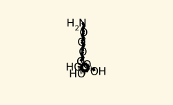 NCCOCCOCCOCCO[C@@H]1O[C@H](CO)C[C@H](O)[C@H]1O